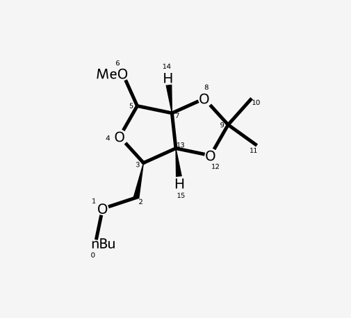 CCCCOC[C@H]1OC(OC)[C@@H]2OC(C)(C)O[C@H]12